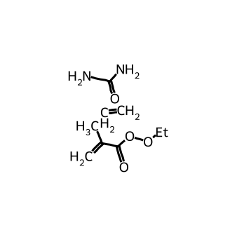 C=C.C=C(C)C(=O)OOCC.NC(N)=O